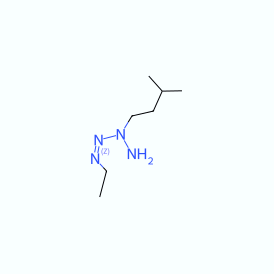 CC/N=N\N(N)CCC(C)C